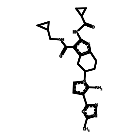 Cc1nnc(-c2ccn(C3CCc4sc(NC(=O)C5CC5)c(C(=O)NCC5CC5)c4C3)c2N)o1